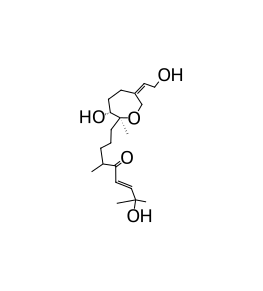 CC(CCC[C@]1(C)OCC(=CCO)CC[C@H]1O)C(=O)C=CC(C)(C)O